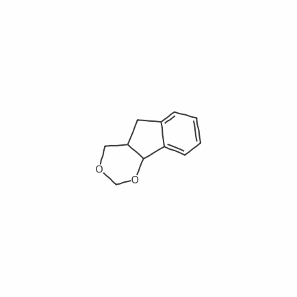 c1ccc2c(c1)CC1COCOC21